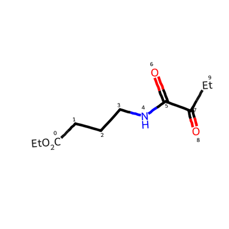 CCOC(=O)CCCNC(=O)C(=O)CC